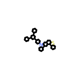 c1ccc(-c2cc(-c3ccccc3)cc(-c3ccc(-n4c5ccccc5c5cc6c(ccc7sc8ccccc8c76)cc54)cc3)c2)cc1